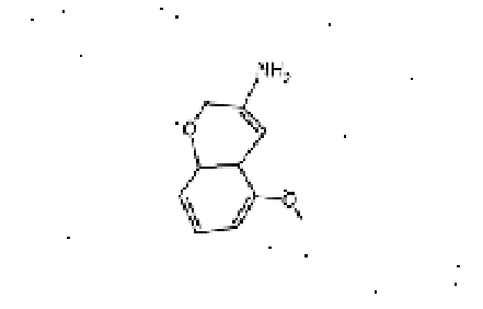 COC1=CC=CC2OCC(N)=CC12